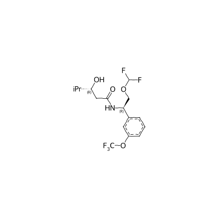 CC(C)[C@H](O)CC(=O)N[C@@H](COC(F)F)c1cccc(OC(F)(F)F)c1